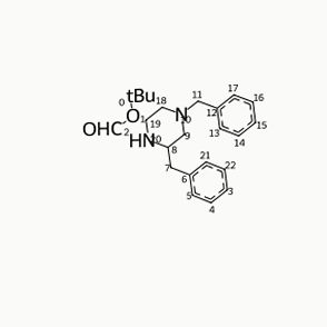 CC(C)(C)OC=O.c1ccc(CC2CN(Cc3ccccc3)CCN2)cc1